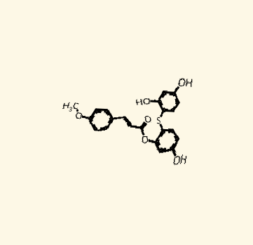 COc1ccc(/C=C/C(=O)Oc2cc(O)ccc2Sc2ccc(O)cc2O)cc1